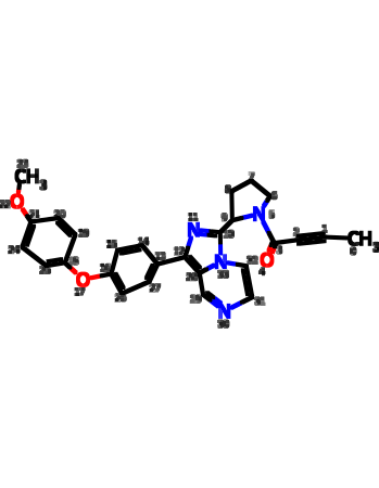 CC#CC(=O)N1CCCC1c1nc(-c2ccc(Oc3ccc(OC)cc3)cc2)c2cnccn12